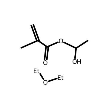 C=C(C)C(=O)OC(C)O.CCOCC